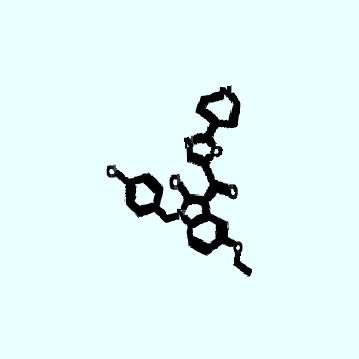 CCOc1ccc2c(c1)c(C(=O)c1cnc(-c3ccncc3)o1)c(Cl)n2Cc1ccc(Cl)cc1